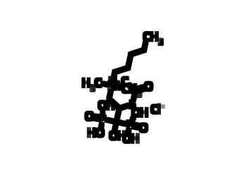 CCCCC[N+](C)(C)CC(SC(C)=O)C(O)(P(=O)(O)O)P(=O)(O)O.[Cl-]